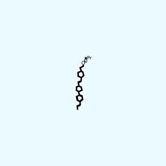 CC=Cc1ccc(C2CCC(C=CC3CCC(CCOOCCC)CC3)CC2)cc1